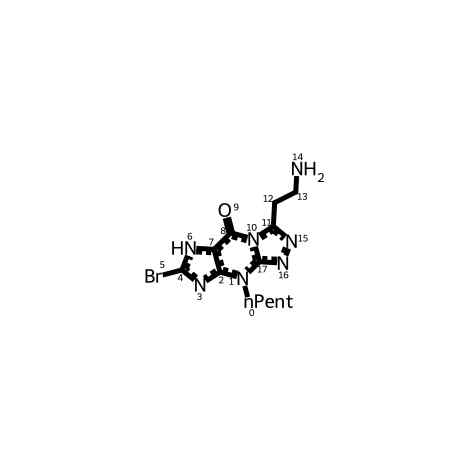 CCCCCn1c2nc(Br)[nH]c2c(=O)n2c(CCN)nnc12